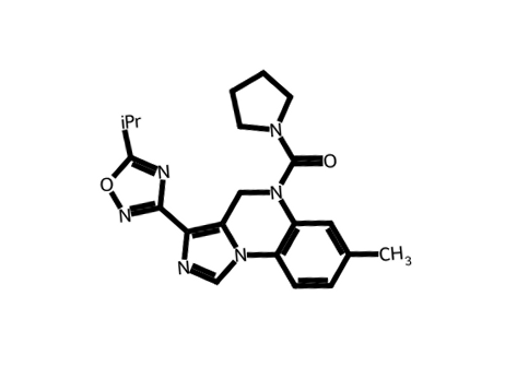 Cc1ccc2c(c1)N(C(=O)N1CCCC1)Cc1c(-c3noc(C(C)C)n3)ncn1-2